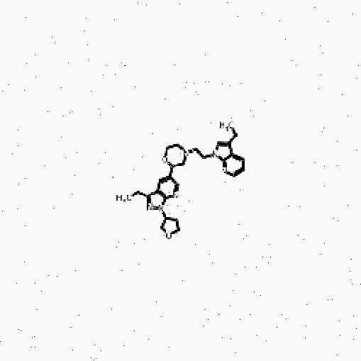 CCc1cn(CCN2CCOC(c3cnc4c(c3)c(CC)nn4C3CCOC3)C2)c2ncccc12